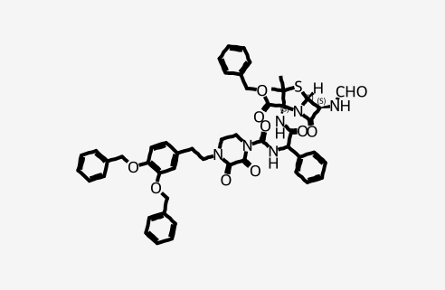 CC1(C)S[C@@H]2[C@@H](NC=O)C(=O)N2[C@@]1(NC(=O)C(NC(=O)N1CCN(CCc2ccc(OCc3ccccc3)c(OCc3ccccc3)c2)C(=O)C1=O)c1ccccc1)C(=O)OCc1ccccc1